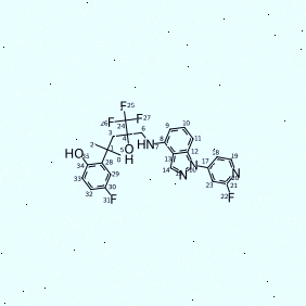 CC(C)(CC(O)(CNc1cccc2c1cnn2-c1ccnc(F)c1)C(F)(F)F)c1cc(F)ccc1O